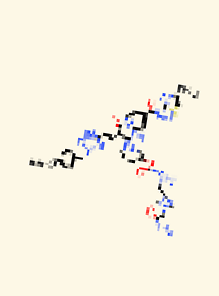 COc1ccc(Cn2nnc(C=Cc3c(N4CCC[C@H](OC(=O)NCC[N+](C)(C)CC(N)=O)C4)nc4cc(C(=O)Nc5nc(C(C)(C)C)cs5)ccn4c3=O)n2)cc1